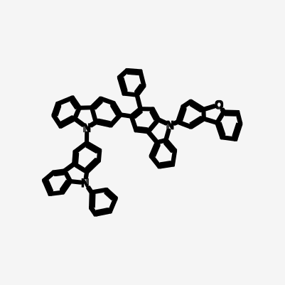 c1ccc(-c2cc3c(cc2-c2ccc4c5ccccc5n(-c5ccc6c(c5)c5ccccc5n6-c5ccccc5)c4c2)c2ccccc2n3-c2ccc3oc4ccccc4c3c2)cc1